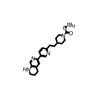 CC(C)(C)OC(=O)N1CCC(CCc2ccc(-c3cc4c(cn3)NCCC4)cn2)CC1